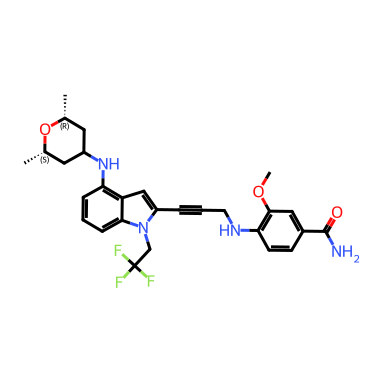 COc1cc(C(N)=O)ccc1NCC#Cc1cc2c(NC3C[C@@H](C)O[C@@H](C)C3)cccc2n1CC(F)(F)F